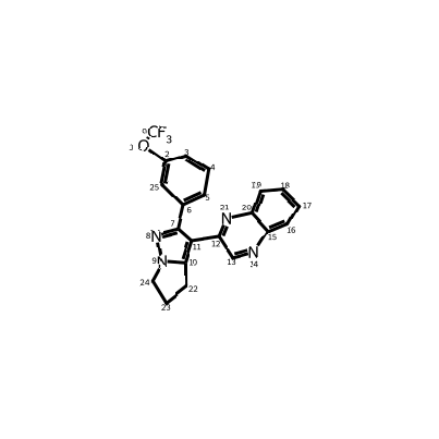 FC(F)(F)Oc1cccc(-c2nn3c(c2-c2cnc4ccccc4n2)CCC3)c1